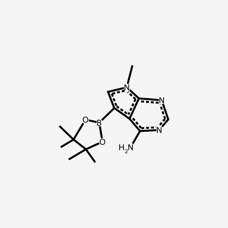 Cn1cc(B2OC(C)(C)C(C)(C)O2)c2c(N)ncnc21